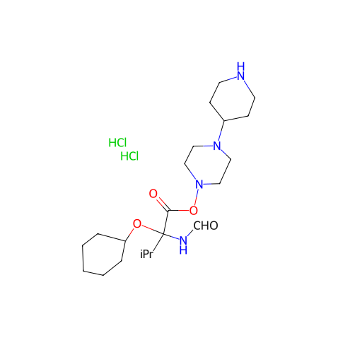 CC(C)C(NC=O)(OC1CCCCC1)C(=O)ON1CCN(C2CCNCC2)CC1.Cl.Cl